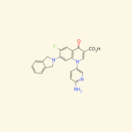 Nc1ccc(-n2cc(C(=O)O)c(=O)c3cc(F)c(N4Cc5ccccc5C4)cc32)cn1